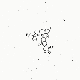 CC[C@H]1C(=O)OCc2c1cc1n(c2=O)Cc2c-1nc1cc(F)c(C)c3c1c2C(NC(=O)[C@@H](O)C(F)(F)F)CC3